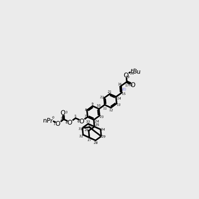 CCCOC(=O)OCOc1ccc(-c2ccc(/C=C/C(=O)OC(C)(C)C)cc2)cc1C12CC3CC(CC(C3)C1)C2